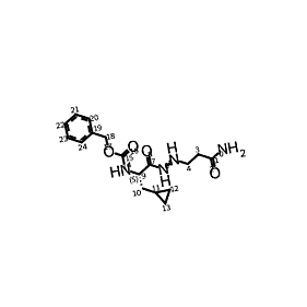 NC(=O)CCNNC(=O)[C@H](CC1CC1)NC(=O)OCc1ccccc1